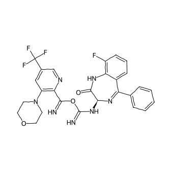 N=C(N[C@@H]1N=C(c2ccccc2)c2cccc(F)c2NC1=O)OC(=N)c1ncc(C(F)(F)F)cc1N1CCOCC1